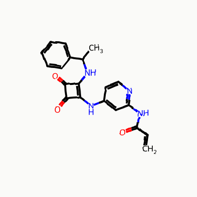 C=CC(=O)Nc1cc(Nc2c(NC(C)c3ccccc3)c(=O)c2=O)ccn1